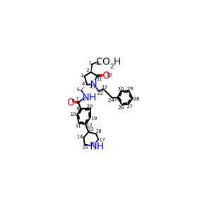 O=C(O)C[C@@H]1C[C@@H](CNC(=O)c2ccc(C3CCNCC3)cc2)N(CCCc2ccccc2)C1=O